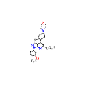 CC(C)c1nn(-c2cccc(OC(F)(F)F)c2)c2nc(C(=O)O)cc(-c3ccc(N4CCOCC4)cc3)c12